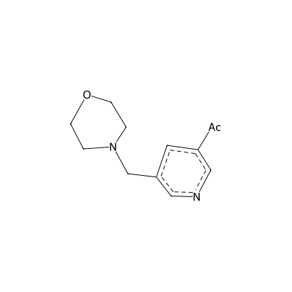 CC(=O)c1cncc(CN2CCOCC2)c1